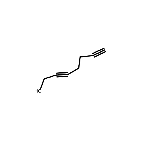 C#CCCC#CCO